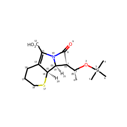 C[C@@H](O[Si](C)(C)C)[C@H]1C(=O)N2C(C(=O)O)=C3CCCS[C@@H]3[C@H]12